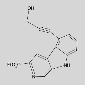 CCOC(=O)c1cc2c(cn1)[nH]c1cccc(C#CCO)c12